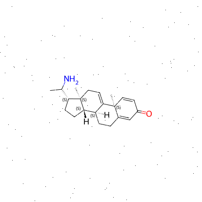 CC(N)[C@H]1CC[C@H]2[C@@H]3CCC4=CC(=O)C=C[C@]4(C)C3=CC[C@]12C